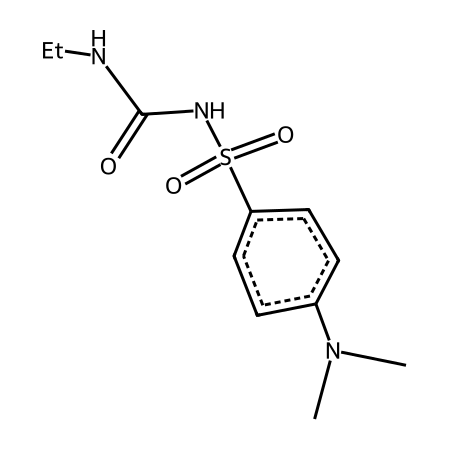 CCNC(=O)NS(=O)(=O)c1ccc(N(C)C)cc1